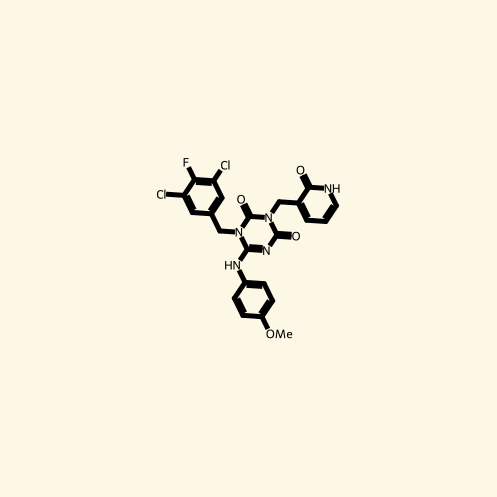 COc1ccc(Nc2nc(=O)n(Cc3ccc[nH]c3=O)c(=O)n2Cc2cc(Cl)c(F)c(Cl)c2)cc1